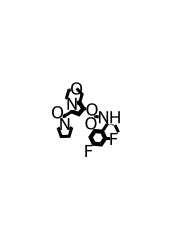 CC[C@@H](NC(=O)Oc1cc(C(=O)N2CCCC2)n2c1COCC2)c1ccc(F)cc1F